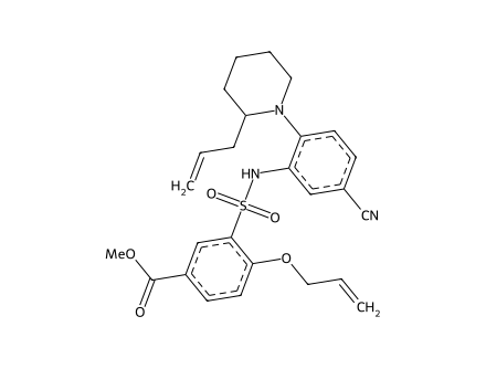 C=CCOc1ccc(C(=O)OC)cc1S(=O)(=O)Nc1cc(C#N)ccc1N1CCCCC1CC=C